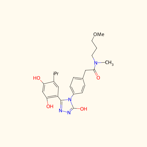 COCCCN(C)C(=O)Cc1ccc(-n2c(O)nnc2-c2cc(C(C)C)c(O)cc2O)cc1